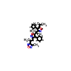 Cc1nonc1C(C)Cc1noc(C(C)(C)c2noc(C(C)C)c2C2CCCC2)c1C1CCCCC1